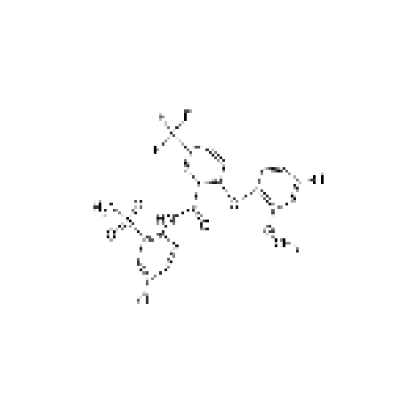 COc1cc(Cl)ccc1Oc1ccc(C(F)(F)F)cc1C(=O)Nc1ccc(Cl)cc1S(N)(=O)=O